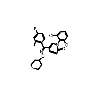 Cc1cc(F)ccc1C(=NOC1CCNCC1)c1ccc(=O)n(-c2c(Cl)cccc2Cl)c1